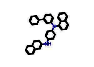 C1=CC(N(c2cccc(-c3ccccc3)c2)c2cccc3ccccc23)CC=C1Nc1ccc2ccccc2c1